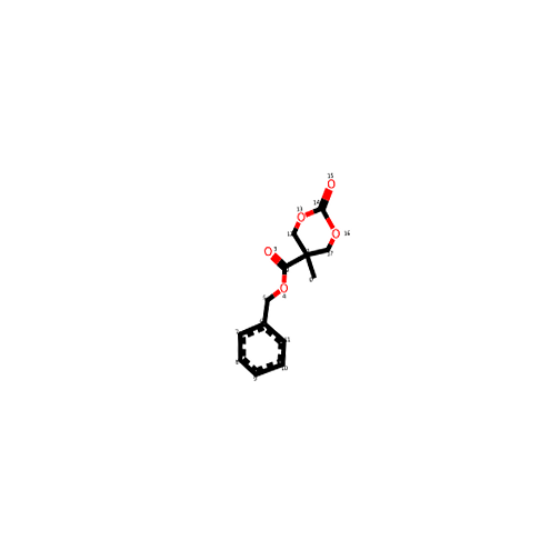 CC1(C(=O)OCc2ccccc2)COC(=O)OC1